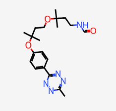 Cc1nnc(-c2ccc(OC(C)(C)CCOC(C)(C)CCNC=O)cc2)nn1